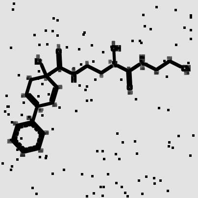 CCC1(C(=O)NCCN(O)C(=O)NCCC#N)C=CC(c2ccccc2)=CC1